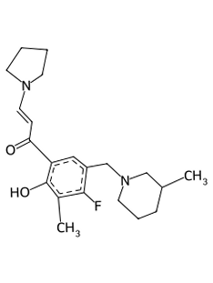 Cc1c(O)c(C(=O)/C=C/N2CCCC2)cc(CN2CCCC(C)C2)c1F